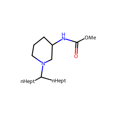 CCCCCCCC(CCCCCCC)N1CCCC(NC(=O)OC)C1